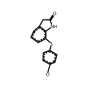 O=C1Cc2cccc(Sc3ccc(Cl)cc3)c2N1